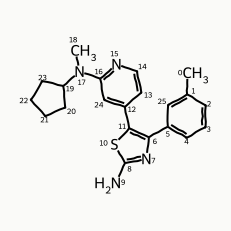 Cc1cccc(-c2nc(N)sc2-c2ccnc(N(C)C3CCCC3)c2)c1